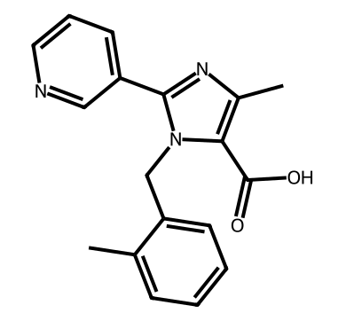 Cc1ccccc1Cn1c(-c2cccnc2)nc(C)c1C(=O)O